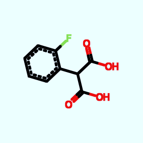 O=C(O)C(C(=O)O)c1ccccc1F